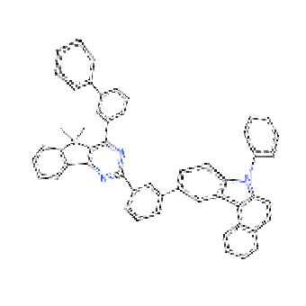 C[Si]1(C)c2ccccc2-c2nc(-c3cccc(-c4ccc5c(c4)c4c6ccccc6ccc4n5-c4ccccc4)c3)nc(-c3cccc(-c4ccccc4)c3)c21